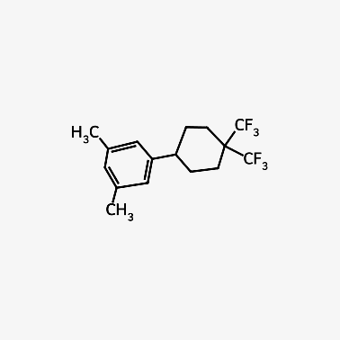 Cc1cc(C)cc(C2CCC(C(F)(F)F)(C(F)(F)F)CC2)c1